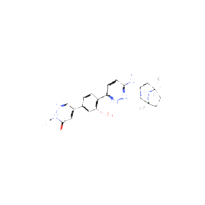 CN(c1ccc(-c2ccc(-c3cnn(C)c(=O)c3)cc2O)nn1)[C@@H]1C[C@H]2CC[C@@H](C1)N2